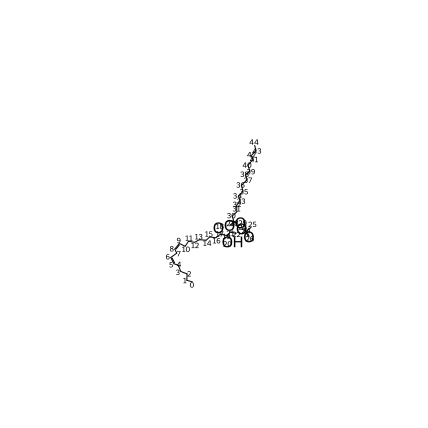 CCCCC/C=C\C/C=C\CCCCCCCC(=O)C(O)C(COC(C)=O)OC(=O)CCCCCCCCCCCCCCC